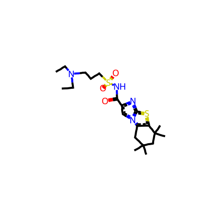 CCN(CC)CCCS(=O)(=O)NC(=O)c1cn2c3c(sc2n1)C(C)(C)CC(C)(C)C3